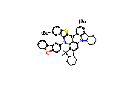 CC(C)(C)c1cc2c3c(c1)C1CCCCC1N3c1cc3c(c4c1B2c1sc2ccc(C(C)(C)C)cc2c1N4c1ccc2oc4ccccc4c2c1)C(C)(C)C1CCCCC31